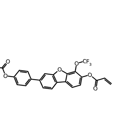 C=CC(=O)Oc1ccc(-c2ccc3c(c2)oc2c(OC(F)(F)F)c(OC(=O)C=C)ccc23)cc1